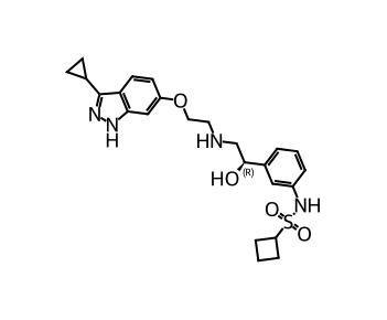 O=S(=O)(Nc1cccc([C@@H](O)CNCCOc2ccc3c(C4CC4)n[nH]c3c2)c1)C1CCC1